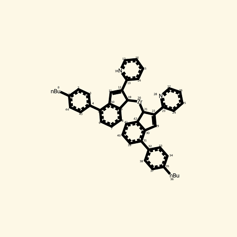 CCCCc1ccc(-c2cccc3c2C=C(c2ccccn2)[CH]3[Zr][CH]2C(c3ccccn3)=Cc3c(-c4ccc(CCCC)cc4)cccc32)cc1